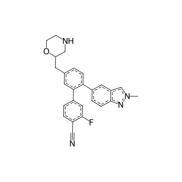 Cn1cc2cc(-c3ccc(CC4CNCCO4)cc3-c3ccc(C#N)c(F)c3)ccc2n1